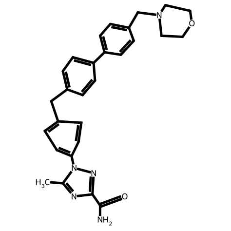 Cc1nc(C(N)=O)nn1-c1ccc(Cc2ccc(-c3ccc(CN4CCOCC4)cc3)cc2)cc1